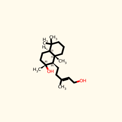 CC(=CCO)CC[C@@H]1[C@@]2(C)CCCC(C)(C)[C@@H]2CC[C@@]1(C)O